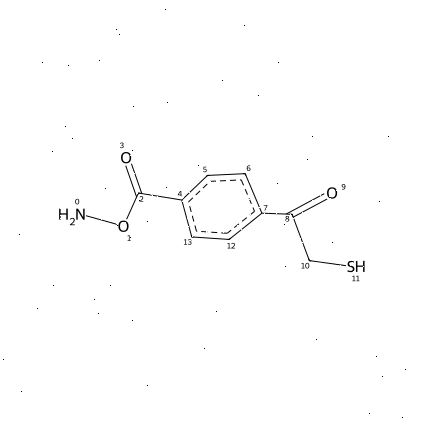 NOC(=O)c1ccc(C(=O)CS)cc1